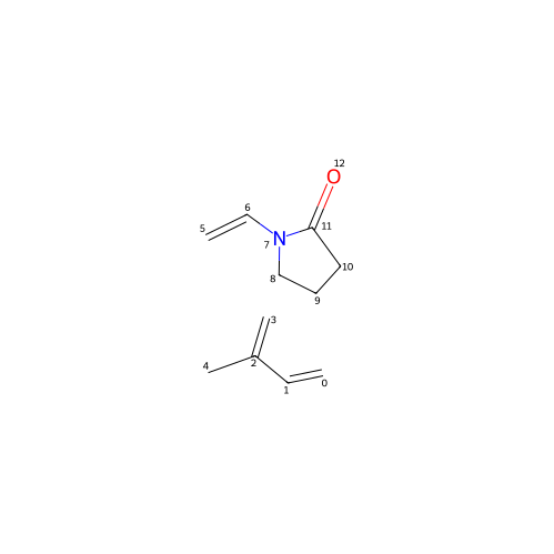 C=CC(=C)C.C=CN1CCCC1=O